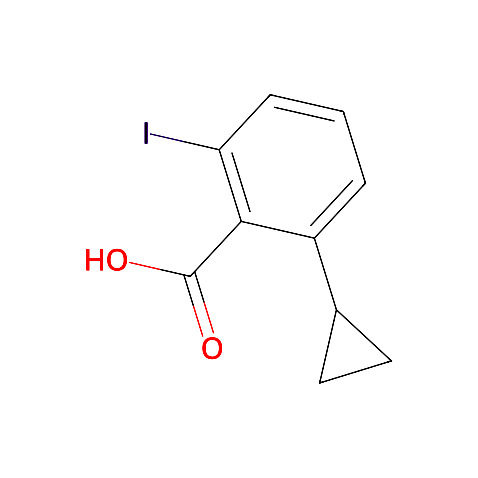 O=C(O)c1c(I)cccc1C1CC1